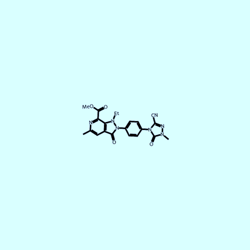 CCn1c2c(C(=O)OC)nc(C)cc2c(=O)n1-c1ccc(-n2c(C#N)nn(C)c2=O)cc1